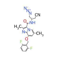 Cc1cc(OCc2c(F)cccc2F)c2nc(C)c(C(=O)NC(CC#N)CN=[N+]=[N-])n2c1